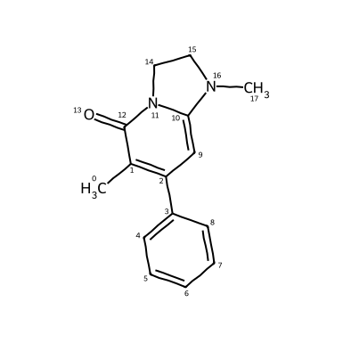 Cc1c(-c2ccccc2)cc2n(c1=O)CCN2C